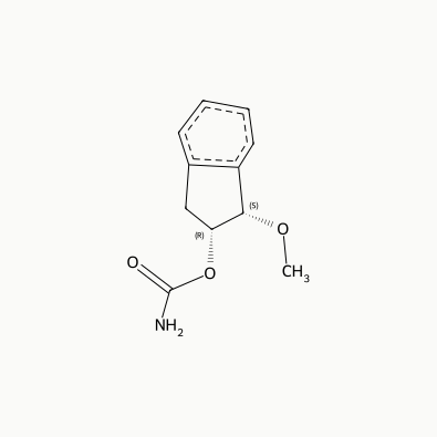 CO[C@H]1c2ccccc2C[C@H]1OC(N)=O